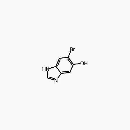 Oc1cc2nc[nH]c2cc1Br